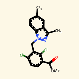 COC(=O)c1ccc(Cl)c(Cn2nc(C)c3cc(C(F)(F)F)ccc32)c1Cl